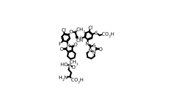 C#CC(C)Oc1cc(N2C(=O)C3=C(CCCC3)C2=O)c(F)cc1Cl.CP(=O)(O)CCC(N)C(=O)O.O=C(O)CSc1cc(N=c2sc(=O)n3n2CCCC3)c(F)cc1Cl